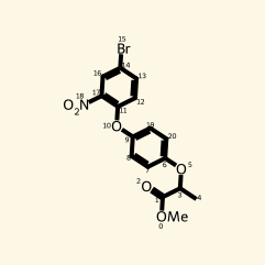 COC(=O)C(C)Oc1ccc(Oc2ccc(Br)cc2[N+](=O)[O-])cc1